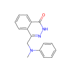 CN(Cc1n[nH]c(=O)c2ccccc12)c1ccccc1